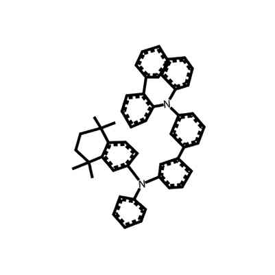 CC1(C)CCC(C)(C)c2cc(N(c3ccccc3)c3cccc(-c4cccc(N(c5ccccc5)c5ccccc5-c5ccccc5)c4)c3)ccc21